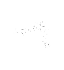 CN(C(=O)c1coc(/C=C/c2ccc(OC(F)F)cc2)n1)c1ccc(CCCCn2ccnn2)cc1